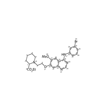 CCOC(=O)C1CCCCN1CCOc1cc2ncnc(Nc3cccc(Br)c3)c2cc1OC